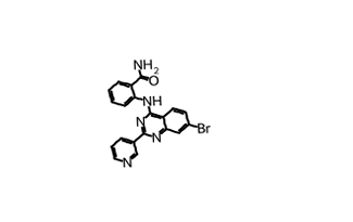 NC(=O)c1ccccc1Nc1nc(-c2cccnc2)nc2cc(Br)ccc12